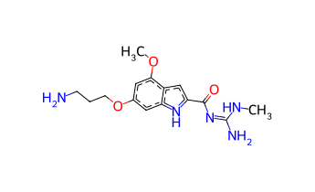 CNC(N)=NC(=O)c1cc2c(OC)cc(OCCCN)cc2[nH]1